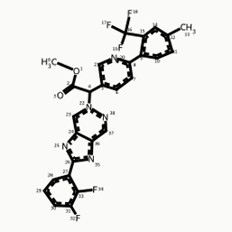 COC(=O)C(c1ccc(-c2ccc(C)cc2C(F)(F)F)nc1)n1cc2nc(-c3cccc(F)c3F)nc-2cn1